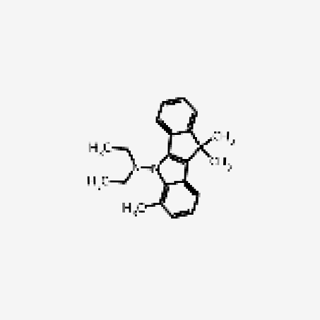 CCN(CC)n1c2c(c3cccc(C)c31)C(C)(C)c1ccccc1-2